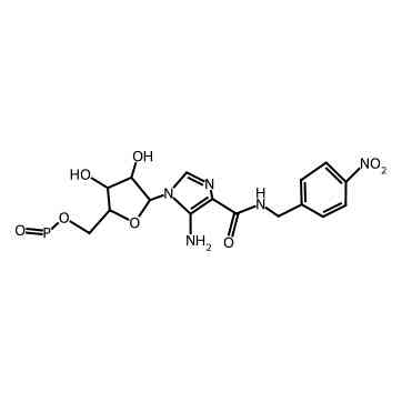 Nc1c(C(=O)NCc2ccc([N+](=O)[O-])cc2)ncn1C1OC(COP=O)C(O)C1O